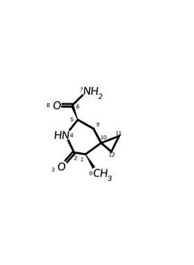 C[C@H]1C(=O)N[C@@H](C(N)=O)CC12CC2